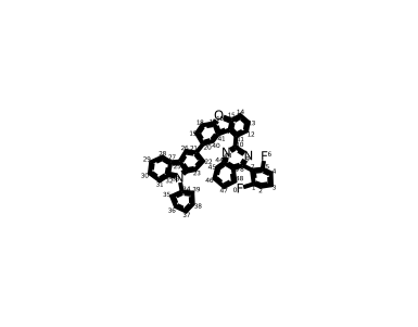 Fc1cccc(F)c1-c1nc(-c2cccc3oc4ccc(-c5ccc6c(c5)c5ccccc5n6-c5ccccc5)cc4c23)nc2ccccc12